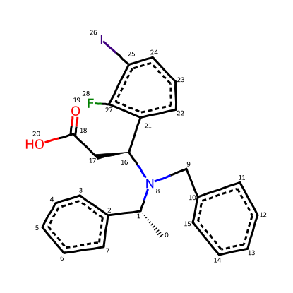 C[C@H](c1ccccc1)N(Cc1ccccc1)[C@@H](CC(=O)O)c1cccc(I)c1F